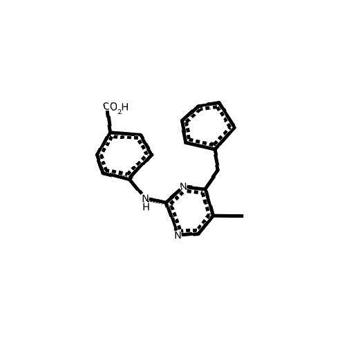 Cc1cnc(Nc2ccc(C(=O)O)cc2)nc1Cc1ccccc1